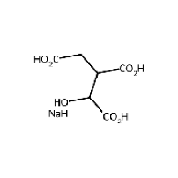 O=C(O)CC(C(=O)O)C(O)C(=O)O.[NaH]